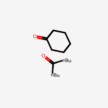 CCCCC(=O)CCCC.O=C1CCCCC1